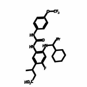 CC(CC(=O)O)c1cc(NC(=O)Nc2ccc(OC(F)(F)F)cc2)c(NC(C(C)C)C2CCCCC2)cc1F